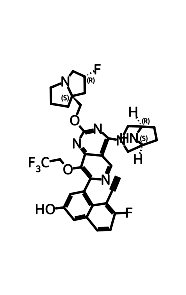 C#Cc1c(F)ccc2cc(O)cc(-c3ncc4c(N5C[C@H]6CC[C@@H](C5)N6)nc(OC[C@@]56CCCN5C[C@H](F)C6)nc4c3OCC(F)(F)F)c12